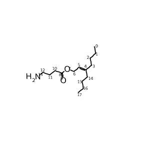 CCCCC(=CCOC(=O)CCCN)CCCC